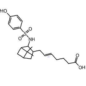 CC1(C)C2CC(C/C=C/CCCC(=O)O)C(NS(=O)(=O)c3ccc(O)cc3)C1C2